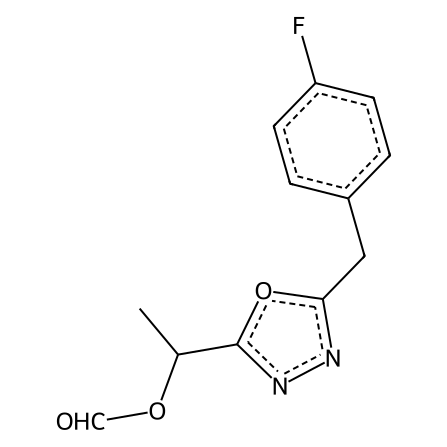 CC(OC=O)c1nnc(Cc2ccc(F)cc2)o1